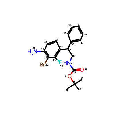 CC(C)(C)OC(=O)NCC(c1ccccc1)c1ccc(N)c(Br)c1F